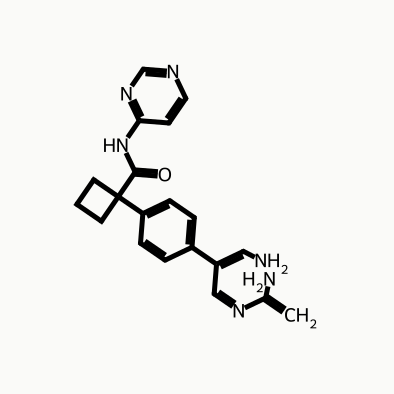 C=C(N)/N=C\C(=C/N)c1ccc(C2(C(=O)Nc3ccncn3)CCC2)cc1